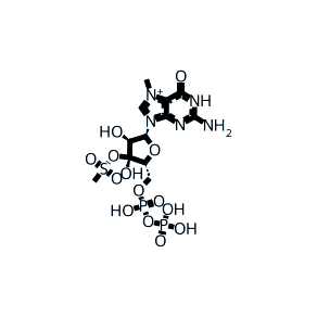 C[n+]1cn([C@@H]2O[C@H](COP(=O)(O)OP(=O)(O)O)[C@](O)(OS(C)(=O)=O)[C@H]2O)c2nc(N)[nH]c(=O)c21